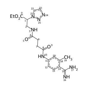 CCOC(=O)C(CNC(=O)CCC(=O)Nc1ccc(C(=N)N)c(C)c1)n1ccnn1